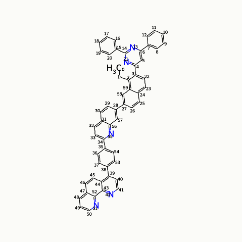 CCc1c(-c2cc(-c3ccccc3)nc(-c3ccccc3)n2)ccc2ccc(-c3ccc4ccc(-c5ccc(-c6ccnc7c6ccc6cccnc67)cc5)nc4c3)cc12